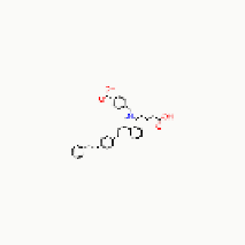 O=C(O)CCCCN(Cc1ccc(C(=O)O)cc1)CC(CCc1ccc(CCc2ccccc2)cc1)c1ccccc1